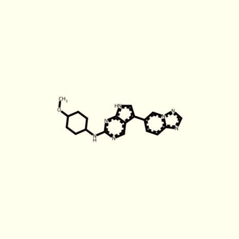 COC1CCC(Nc2ncc3c(-c4ccc5ncnn5c4)c[nH]c3n2)CC1